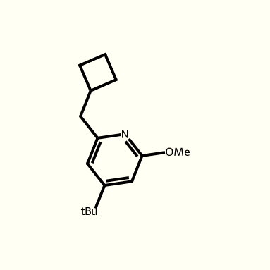 COc1cc(C(C)(C)C)cc(CC2CCC2)n1